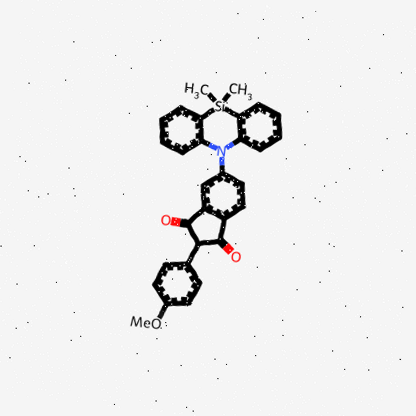 COc1ccc(C2C(=O)c3ccc(N4c5ccccc5[Si](C)(C)c5ccccc54)cc3C2=O)cc1